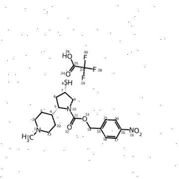 CN1CCC([C@@H]2C[C@H](S)CN2C(=O)OCc2ccc([N+](=O)[O-])cc2)CC1.O=C(O)C(F)(F)F